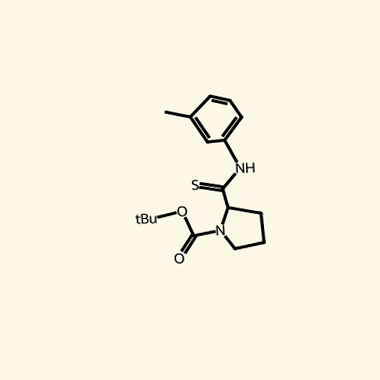 Cc1cccc(NC(=S)C2CCCN2C(=O)OC(C)(C)C)c1